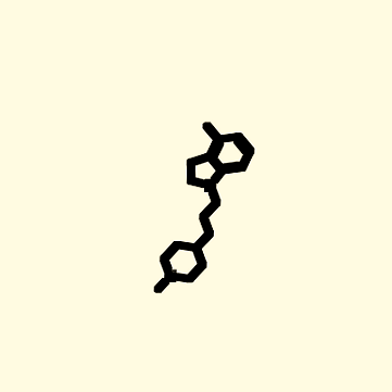 Cc1cccc2c1CCN2CCCC1CCN(C)CC1